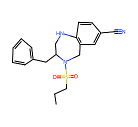 CCCS(=O)(=O)N1Cc2cc(C#N)ccc2NCC1Cc1ccccc1